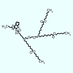 CCCCCCCOC(=O)CCCCCCCCN(CCCCCCCCC(=O)OCCCCCCC)CCOCCOCCN(CCCCCCCCC(=O)OCCCCCCC)CCCCCC(=O)Nc1nc2ccccc2c2sc(CCC)nc12